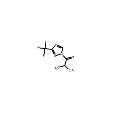 CC(C)C(=O)n1cnc(C(F)(F)F)n1